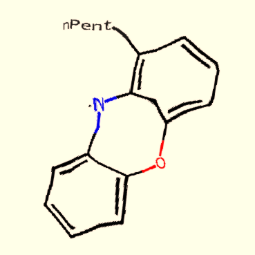 CCCCCc1cccc2c1[N]c1ccccc1O2